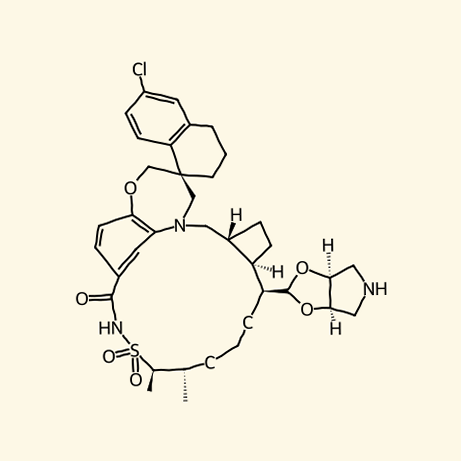 C[C@@H]1[C@@H](C)CCC[C@H](C2O[C@H]3CNC[C@H]3O2)[C@@H]2CC[C@H]2CN2C[C@@]3(CCCc4cc(Cl)ccc43)COc3ccc(cc32)C(=O)NS1(=O)=O